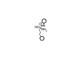 NC(O)(CCCc1ccccc1)c1nc2ccccc2o1